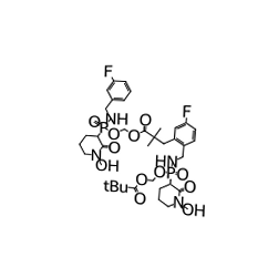 CC(C)(C)C(=O)OCOP(=O)(NCc1ccc(F)cc1CC(C)(C)C(=O)OCOP(=O)(NCc1cccc(F)c1)C1CCCN(O)C1=O)C1CCCN(O)C1=O